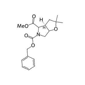 COC(=O)C1[C@H]2CC(C)(C)OC2CN1C(=O)OCc1ccccc1